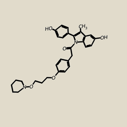 Cc1c(-c2ccc(O)cc2)n(C(=O)Cc2ccc(OCCCON3CCCCC3)cc2)c2ccc(O)cc12